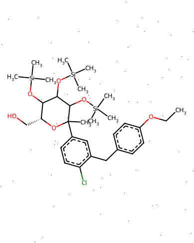 CCOc1ccc(Cc2cc(C3(C)O[C@H](CO)C(O[Si](C)(C)C)C(O[Si](C)(C)C)C3O[Si](C)(C)C)ccc2Cl)cc1